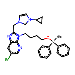 CC(C)(C)[Si](OCCCCn1c(CN2C=CN(C3CC3)C2)nc2cc(Br)cnc21)(c1ccccc1)c1ccccc1